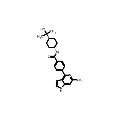 Cc1cc2[nH]ccc2c(-c2ccc(C(=O)N[C@H]3CC[C@H](C(C)(C)O)CC3)cc2)n1